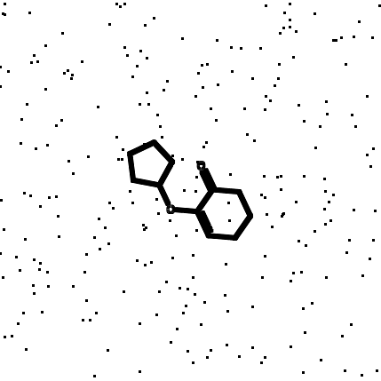 O=C1CCCC=C1OC1CCCC1